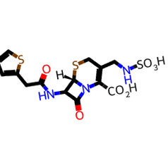 O=C(Cc1cccs1)NC1C(=O)N2C(C(=O)O)=C(CNS(=O)(=O)O)CS[C@@H]12